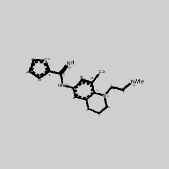 CNCCN1CCCc2cc(NC(=N)c3cccs3)cc(F)c21